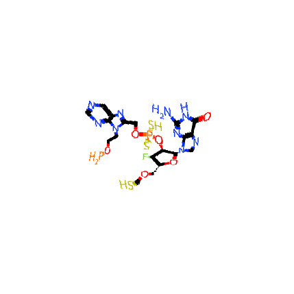 Nc1nc2c(ncn2[C@@H]2O[C@H](COCS)[C@@H](F)[C@H]2OP(=S)(S)OCc2nc3cncnc3n2CCOP)c(=O)[nH]1